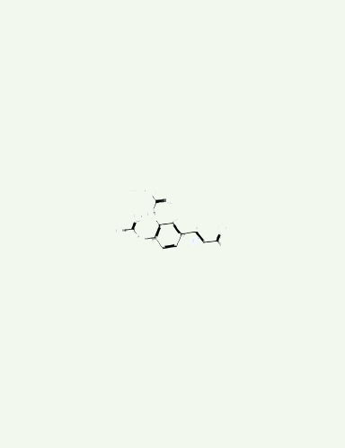 CC(=O)/C=C/c1ccc(OC(C)=O)c(OC(C)=O)c1